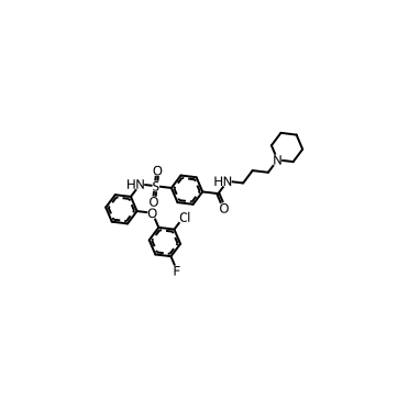 O=C(NCCCN1CCCCC1)c1ccc(S(=O)(=O)Nc2ccccc2Oc2ccc(F)cc2Cl)cc1